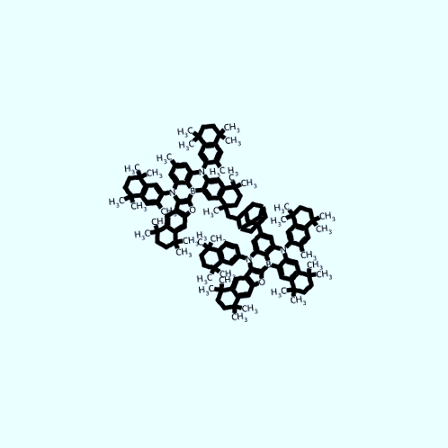 Cc1cc2c3c(c1)N(c1cc4c(cc1C)C(C)(C)CCC4(C)C)c1c(oc4cc5c(cc14)C(C)(C)CCC5(C)C)B3c1cc3c(cc1N2c1cc2c(cc1C)C(C)(C)CCC2(C)C)C(C)(C)CCC3(C)CC1C2CC3CC1CC(c1cc4c5c(c1)N(c1ccc6c(c1)C(C)(C)CCC6(C)C)c1c(oc6cc7c(cc16)C(C)(C)CCC7(C)C)B5c1cc5c(cc1N4c1cc4c(cc1C)C(C)(C)CCC4(C)C)C(C)(C)CCC5(C)C)(C3)C2